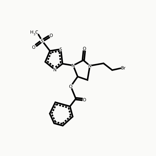 CS(=O)(=O)c1cnc(N2C(=O)N(CCBr)CC2OC(=O)c2ccccc2)s1